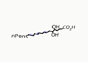 CCCCC/C=C/C/C=C/C/C=C/CC(O)C(O)CCCC(=O)O